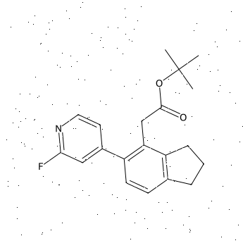 CC(C)(C)OC(=O)Cc1c(-c2ccnc(F)c2)ccc2c1CCC2